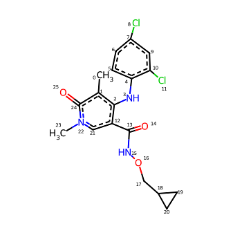 Cc1c(Nc2ccc(Cl)cc2Cl)c(C(=O)NOCC2CC2)cn(C)c1=O